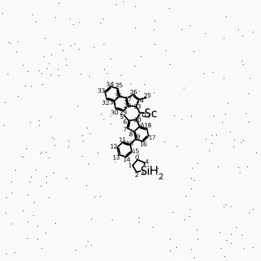 C1CC[SiH2]C1.CC1=Cc2c(-c3ccccc3)cccc2C1[CH]([Sc])C1C(C)=Cc2c1ccc1ccccc21